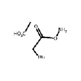 CC(=O)O.CC(C)(C)CC(=O)ON